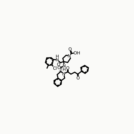 Cc1cccc(NC(=O)C2(NC(=O)[C@@H]3Cc4ccccc4CN3C(=O)CCC(=O)c3ccccc3)CCN(C(=O)O)CC2)c1Cl